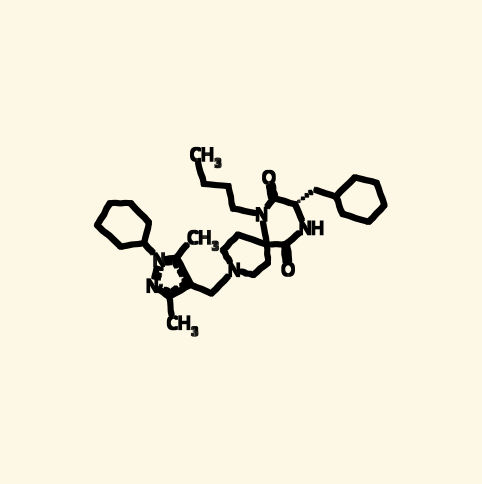 CCCCN1C(=O)[C@H](CC2CCCCC2)NC(=O)C12CCN(Cc1c(C)nn(C3CCCCC3)c1C)CC2